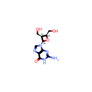 Nc1nc2c(ncn2[C@@H]2O[C@H](CO)[C@@H]2CO)c(=O)[nH]1